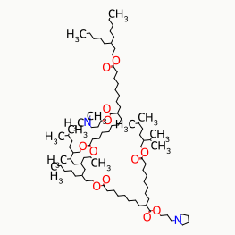 CCCCCC(CCCCC)CCOC(=O)CCCCCCCC(CCCCCCCC(=O)OCC(CCC(C)C)C(C)CC(CCC)CC(CCCCC)CCOC(=O)CCCCCCCC(CCCCCCCC(=O)OCC(CCC(C)C)C(C)C)C(=O)OCCCN1CCCC1)C(=O)OCCCN(C)C